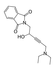 CCN(CC)CC#CC(O)CN1C(=O)c2ccccc2C1=O